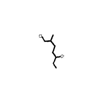 CCC([O])CCC(C)CCl